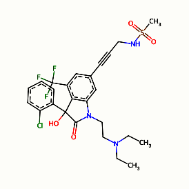 CCN(CC)CCN1C(=O)C(O)(c2ccccc2Cl)c2c1cc(C#CCNS(C)(=O)=O)cc2C(F)(F)F